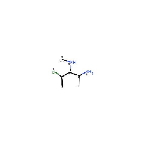 CCN[C@H](C(C)N)C(C)Cl